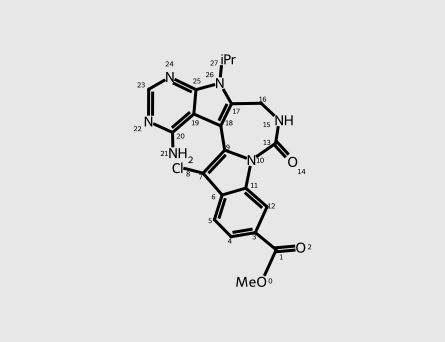 COC(=O)c1ccc2c(Cl)c3n(c2c1)C(=O)NCc1c-3c2c(N)ncnc2n1C(C)C